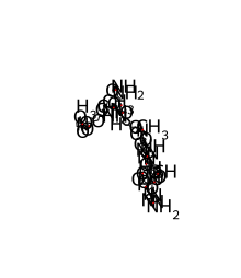 CC(C)[C@H](NC(=O)CCOCCC(=O)ON1C(=O)CCC1=O)C(=O)N[C@@H](CCCCNC(N)=O)C(=O)Nc1ccc(COC(=O)N(C)CCOC(=O)Nc2ncnc3c2ncn3[C@H]2C[C@@H]3O[P@](=O)(S)OCC4O[C@@H](n5cnc6c(N)ncnc65)C[C@@H]4O[PH](=O)OC[C@H]3O2)cc1